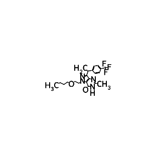 C=C(c1ccc(C(F)(F)F)cc1)c1nn(CCOCCCC)c2c(=O)[nH]c(C)nc12